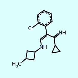 CC1CC(N/C=C(\C(=N)C2CC2)c2ccccc2Cl)C1